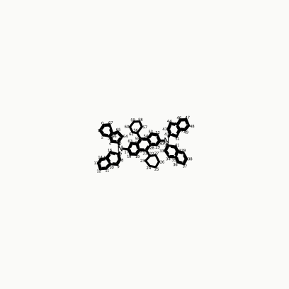 c1ccc2cc(N(c3ccc4ccccc4c3)c3ccc4c(C5CCCCC5)c5cc(N(c6ccc7ccccc7c6)c6ccc7ccccc7c6)ccc5c(C5CCCCC5)c4c3)ccc2c1